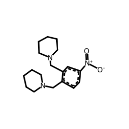 O=[N+]([O-])c1ccc(CN2CCCCC2)c(CN2CCCCC2)c1